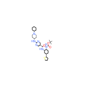 CC(C)(C)OC(=O)Nc1ccc(-c2cccs2)cc1NC(=O)c1cnc(NC2CCN(c3ccccc3)CC2)nc1